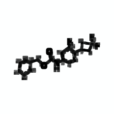 O=C(Nc1ccc(C2CC(F)(F)C2)c(F)c1)OCc1ccccc1